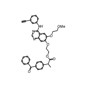 C#Cc1cccc(Nc2ncnc3cc(OCCOC(=O)C(C)c4ccc(C(=O)c5ccccc5)cc4)c(OCCOC)cc23)c1